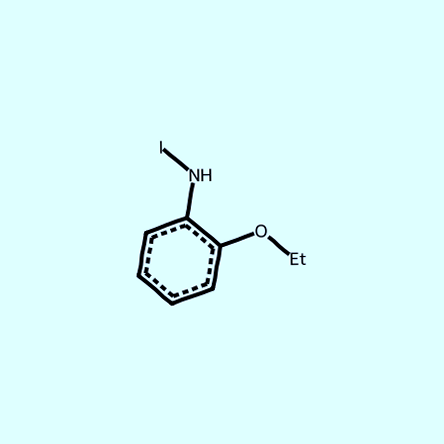 CCOc1ccccc1NI